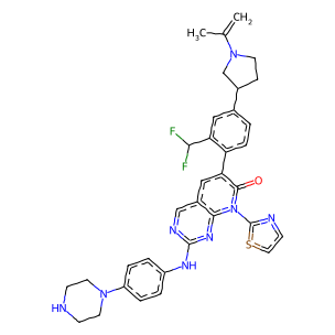 C=C(C)N1CCC(c2ccc(-c3cc4cnc(Nc5ccc(N6CCNCC6)cc5)nc4n(-c4nccs4)c3=O)c(C(F)F)c2)C1